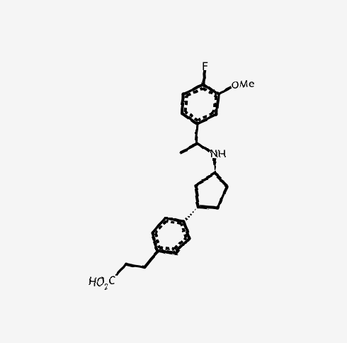 COc1cc(C(C)N[C@H]2CC[C@H](c3ccc(CCC(=O)O)cc3)C2)ccc1F